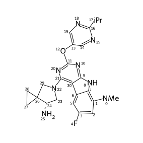 CNc1cc(F)cc2c1[nH]c1nc(Oc3cnc(C(C)C)nc3)nc(N3C[C@H](N)C4(CC4)C3)c12